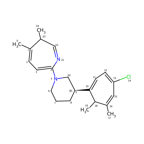 CC1=CC=C(N2CCC[C@H](C3=CC=C(Cl)C=C(C)C3C)C2)N=CC1C